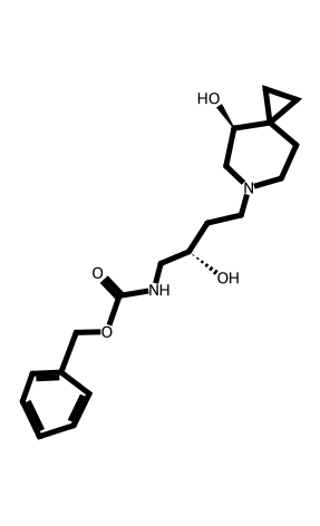 O=C(NC[C@@H](O)CCN1CCC2(CC2)[C@H](O)C1)OCc1ccccc1